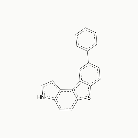 c1ccc(-c2ccc3sc4ccc5[nH]ccc5c4c3c2)cc1